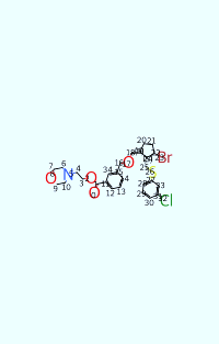 O=C(OCCN1CCOCC1)c1cccc(COC[C@H]2CCC(Br)[C@@H]2CSc2cccc(Cl)c2)c1